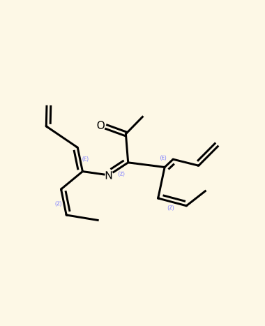 C=C/C=C(\C=C/C)/N=C(C(C)=O)/C(/C=C\C)=C/C=C